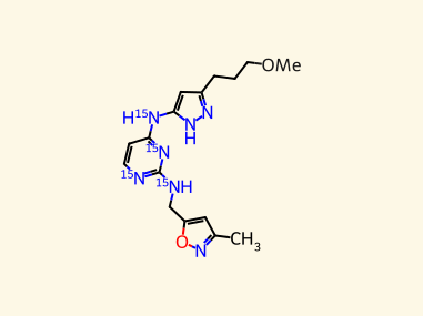 COCCCc1cc([15NH]c2cc[15n]c([15NH]Cc3cc(C)no3)[15n]2)[nH]n1